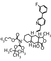 CCOC(=O)N(C(=O)OC(C)(C)C)[C@@H]1CC[C@@H]2[C@@H](C1)C[C@@]1(O)C(=O)O[C@H](C)[C@H]1[C@H]2/C=C/c1ccc(-c2cccc(F)c2)cn1